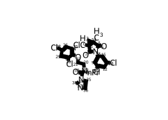 CC12CC1(C)C(=O)N(c1cc(Cl)cc(Cl)c1)C2=O.CCCN(CCOc1c(Cl)cc(Cl)cc1Cl)C(=O)n1ccnc1